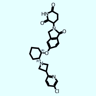 O=C1CCC(N2Cc3cc(O[C@@H]4CCCC[C@H]4N4CC(c5ccc(Cl)cn5)C4)ccc3C2=O)C(=O)N1